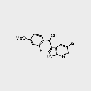 COc1ccc(C(O)c2c[nH]c3ncc(Br)cc23)c(F)c1